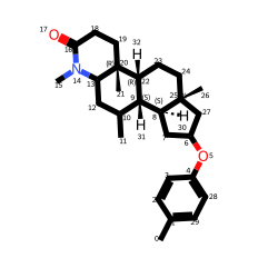 Cc1ccc(OC2C[C@H]3[C@@H]4C(C)CC5N(C)C(=O)CC[C@]5(C)[C@@H]4CC[C@]3(C)C2)cc1